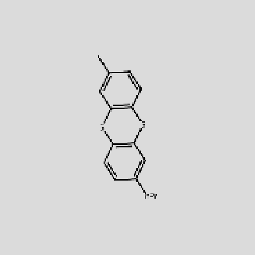 CCCc1ccc2c(c1)Sc1ccc(C)cc1S2